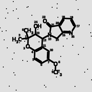 CC1(C)Oc2ccc(OC(F)(F)F)cc2C(N2Cc3ncccc3C2=O)C1O